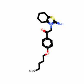 CCCCCCCCCCCCCCOc1ccc(C(=O)Cn2c3c(sc2=N)CCCC3)cc1